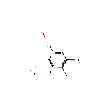 CC(=O)[O-].CC(=O)[O-].CC(=O)[O-].Cc1cc(C)[c]([Pb+3])c(C)c1